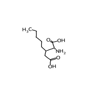 CCCCCC(CC(=O)O)[C@H](N)C(=O)O